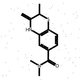 C=C1Nc2cc(C(=O)N(C)C)ccc2SC1C